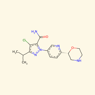 CC(C)c1nn(-c2ccc([C@H]3CNCCO3)nc2)c(C(N)=O)c1Cl